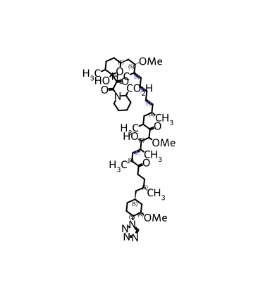 COC(C(=O)C(C)C[C@H](C)/C=C/C=C/C=C(\C)[C@H](C[C@@H]1CCC(C)C(O)(C(=O)C(=O)N2CCCCC2C(=O)O)O1)OC)[C@H](O)/C(C)=C/[C@@H](C)C(=O)CC[C@H](C)C[C@@H]1CC[C@H](n2cnnn2)[C@H](OC)C1